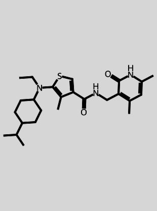 CCN(c1scc(C(=O)NCc2c(C)cc(C)[nH]c2=O)c1C)C1CCC(C(C)C)CC1